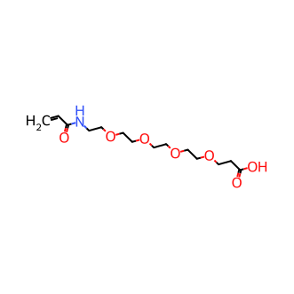 C=CC(=O)NCCOCCOCCOCCOCCC(=O)O